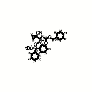 CC(C)(C)[Si](OC[C@H](NC(=O)OCc1ccccc1)C1(C#N)CC1)(c1ccccc1)c1ccccc1